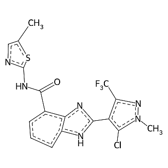 Cc1cnc(NC(=O)c2cccc3[nH]c(-c4c(C(F)(F)F)nn(C)c4Cl)nc23)s1